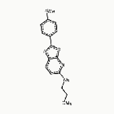 CNc1ccc(-c2nc3ccc(NCCOC)nc3o2)cc1